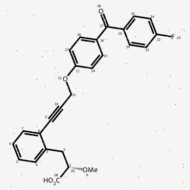 CO[C@@H](Cc1ccccc1C#CCOc1ccc(C(=O)c2ccc(F)cc2)cc1)C(=O)O